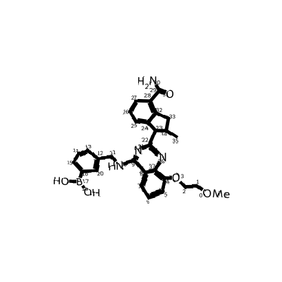 COCCOc1cccc2c(NCc3cccc(B(O)O)c3)nc(C3c4cccc(C(N)=O)c4CC3C)nc12